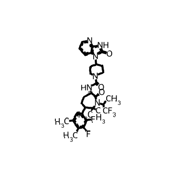 Cc1cc(C2CC[C@@H](NC(=O)N3CCC(n4c(=O)[nH]c5ncccc54)CC3)C(=O)N(C(C)C(F)(F)F)C2(C)C)c(F)c(F)c1C